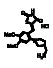 COc1cc(/C=C2\SC(=O)NC2=O)c(N2CCC(CN)C2)cc1OC.Cl